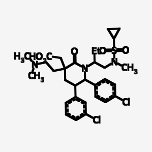 CCC(CN(C)S(=O)(=O)C1CC1)N1C(=O)C(CCN(C)C)(CC(=O)O)CC(c2cccc(Cl)c2)C1c1ccc(Cl)cc1